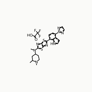 CC1CC(N(C)c2nc3sc(-c4ccc(-n5nccn5)c5cc[nH]c45)nc3s2)CCN1C.O=C(O)C(F)(F)F